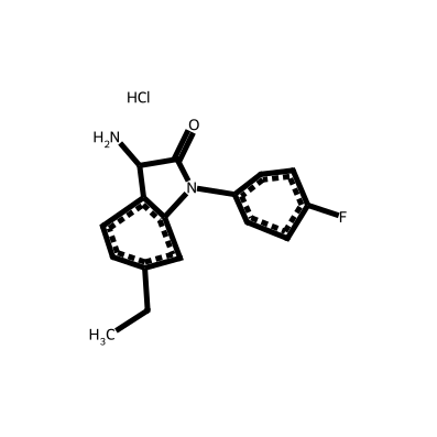 CCc1ccc2c(c1)N(c1ccc(F)cc1)C(=O)C2N.Cl